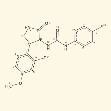 COc1cnc(C2CNC(=O)C2NC(=O)Nc2ccc(F)cc2)c(F)c1